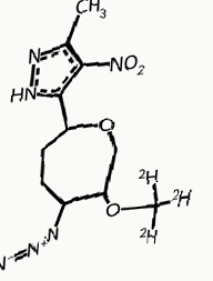 [2H]C([2H])([2H])OC1COC(c2[nH]nc(C)c2[N+](=O)[O-])CCC1N=[N+]=[N-]